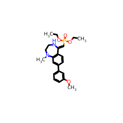 CCOP(=O)(/C=C1\NCCN(C)c2cc(-c3cccc(OC)c3)ccc21)OCC